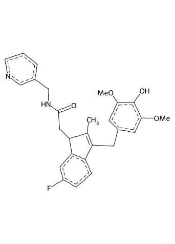 COc1cc(CC2=C(C)C(CC(=O)NCc3cccnc3)c3cc(F)ccc32)cc(OC)c1O